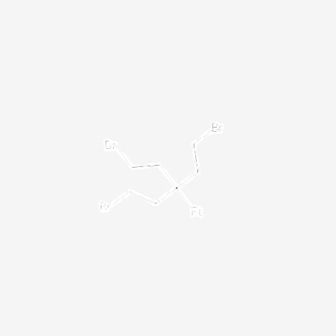 CCC(CCBr)(CCBr)CCBr